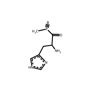 B#P(C)C(=O)C(N)Cc1c[nH]cn1